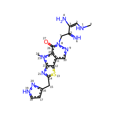 CN/C=C(/N)C(=N)Cn1ncc2c3sc(Cc4cc[nH]n4)nc3n(C)c2c1=O